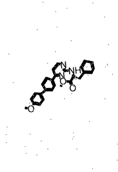 COC(=O)[C@H](Cc1ccccc1)Nc1nccc(-c2ccc(-c3ccc(OC)cc3)cc2)n1